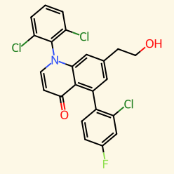 O=c1ccn(-c2c(Cl)cccc2Cl)c2cc(CCO)cc(-c3ccc(F)cc3Cl)c12